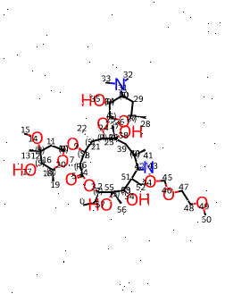 CC[C@H]1OC(=O)[C@H](C)[C@@H](O[C@H]2C[C@@](C)(OC)[C@@H](O)[C@H](C)O2)[C@H](C)[C@@H](O[C@@H]2O[C@H](C)C[C@H](N(C)C)[C@H]2O)[C@](C)(O)C[C@@H](C)/C(=N/OCOCCOC)C(C)[C@@H](O)[C@]1(C)O